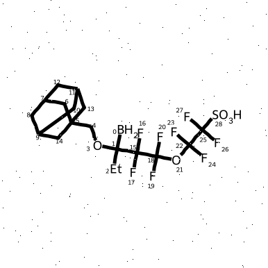 BC(CC)(OCC12CC3CC(CC(C3)C1)C2)C(F)(F)C(F)(F)OC(F)(F)C(F)(F)S(=O)(=O)O